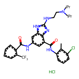 Cc1c(Cl)cccc1NC(=O)c1cc(NC(=O)c2ccccc2C(F)(F)F)cc2[nH]c(NCCN(C(C)C)C(C)C)nc12.Cl